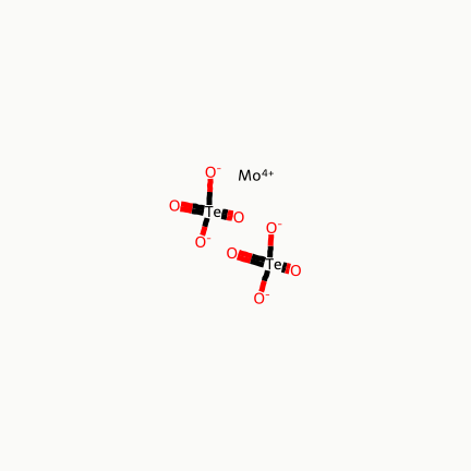 O=[Te](=O)([O-])[O-].O=[Te](=O)([O-])[O-].[Mo+4]